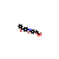 O=C(Nc1ccc(C(=O)c2ccccc2)cc1)c1ccc(-c2ccc(C(=O)O)o2)cc1